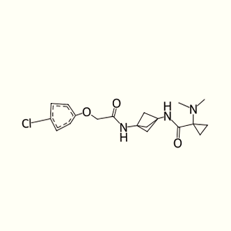 CN(C)C1(C(=O)NC23CC(NC(=O)COc4ccc(Cl)cc4)(C2)C3)CC1